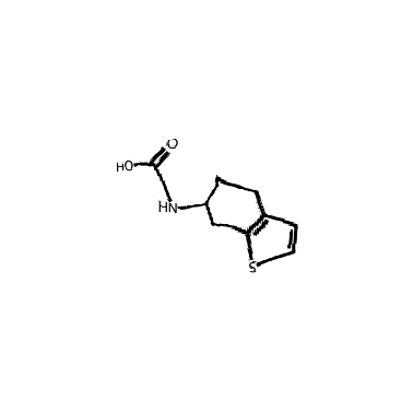 O=C(O)NC1CCc2ccsc2C1